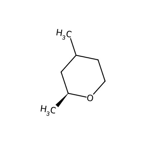 CC1CCO[C@@H](C)C1